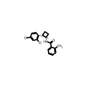 Cc1ccccc1C(=O)N[C@H]1CC[C@H]1c1ccc(Cl)cc1Cl